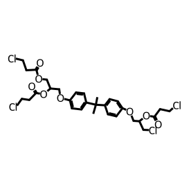 CC(C)(c1ccc(OCC(CCl)OC(=O)CCCl)cc1)c1ccc(OCC(COC(=O)CCCl)OC(=O)CCCl)cc1